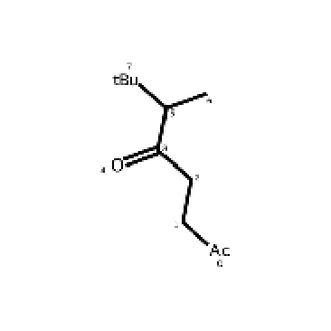 CC(=O)CCC(=O)C(C)C(C)(C)C